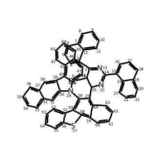 CCC1C(c2cccc3ccccc23)=NC(c2cccc3ccccc23)=NC1c1c(-n2c3cc4ccccc4cc3c3c4ccccc4ccc32)c2c3ccccc3sc2c2ccccc12